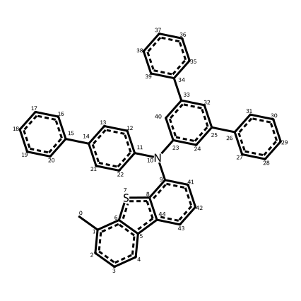 Cc1cccc2c1sc1c(N(c3ccc(-c4ccccc4)cc3)c3cc(-c4ccccc4)cc(-c4ccccc4)c3)cccc12